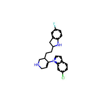 Fc1ccc2c(c1)CC(CCC1CNCC=C1n1ccc3ccc(Cl)cc31)N2